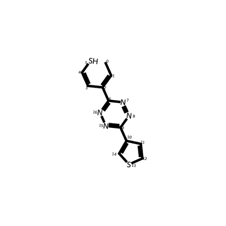 C/C=C(\C=C/S)c1nnc(-c2ccsc2)nn1